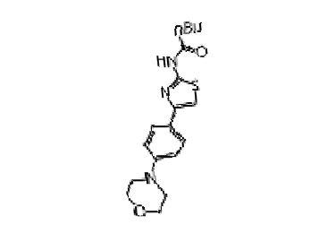 CCCCC(=O)Nc1nc(-c2ccc(N3CCOCC3)cc2)cs1